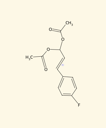 CC(=O)OC(/C=C/c1ccc(F)cc1)OC(C)=O